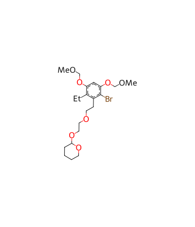 CCc1c(OCOC)cc(OCOC)c(Br)c1CCOCCOC1CCCCO1